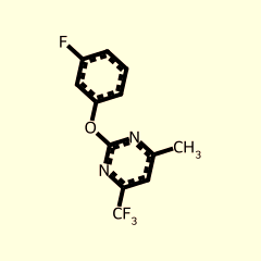 Cc1cc(C(F)(F)F)nc(Oc2cccc(F)c2)n1